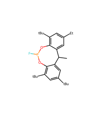 CCc1cc2c(c(C(C)(C)C)c1)OP(F)Oc1c(cc(C(C)(C)C)cc1C(C)(C)C)C2C